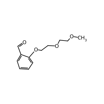 COCCOCCOc1ccccc1C=O